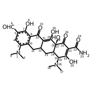 CN(C)c1cc(C=O)c(O)c2c1CC1CC3[C@H](N(C)C)C(O)=C(C(N)=O)C(=O)[C@@]3(O)C(O)=C1C2=O